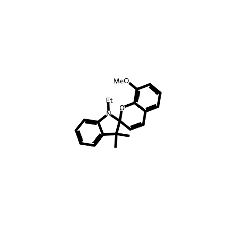 CCN1c2ccccc2C(C)(C)C12C=Cc1cccc(OC)c1O2